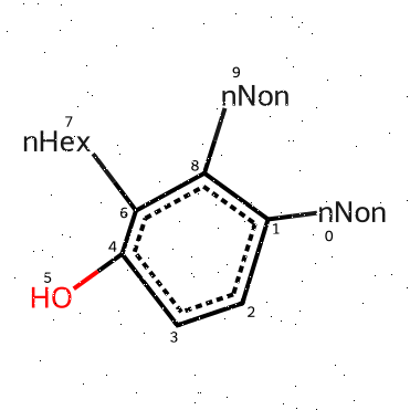 CCCCCCCCCc1ccc(O)c(CCCCCC)c1CCCCCCCCC